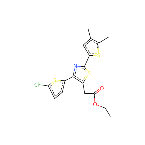 CCOC(=O)Cc1sc(-c2cc(C)c(C)s2)nc1-c1ccc(Cl)s1